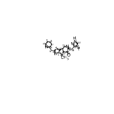 Cn1c2nc(Cc3ccccn3)sc2c2cnn(Cc3n[nH]cc3F)c(=O)c21